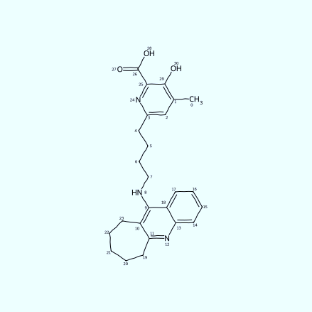 Cc1cc(CCCCNc2c3c(nc4ccccc24)CCCCC3)nc(C(=O)O)c1O